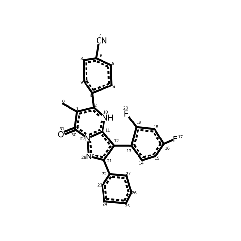 Cc1c(-c2ccc(C#N)cc2)[nH]c2c(-c3ccc(F)cc3F)c(-c3ccccc3)nn2c1=O